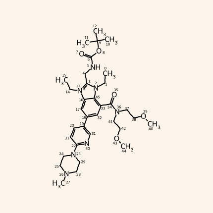 CCn1c(CNC(=O)OC(C)(C)C)[n+](CC)c2cc(-c3ccc(N4CCN(C)CC4)nc3)cc(C(=O)N(CCOC)CCOC)c21